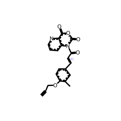 C#CCOc1ccc(/C=C/C(=O)n2c(=O)oc(=O)c3ncccc32)cc1C